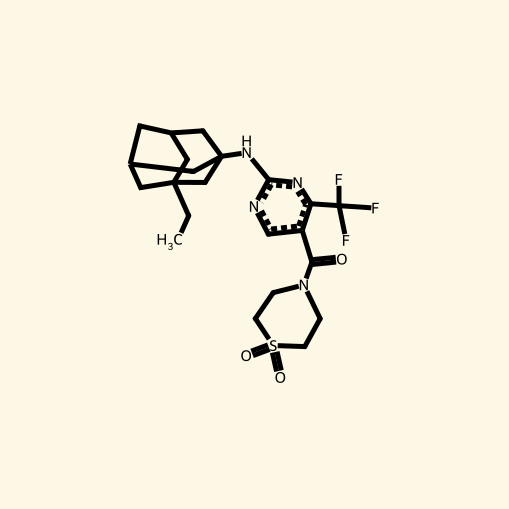 CCC12CC3CC(C1)CC(Nc1ncc(C(=O)N4CCS(=O)(=O)CC4)c(C(F)(F)F)n1)(C3)C2